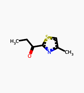 CCC(=O)c1nc(C)cs1